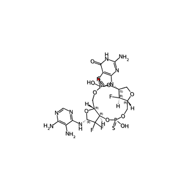 Nc1nc2c(ncn2[C@@]23CO[C@H](COP(O)(=S)O[C@@H]4[C@@H](COP(O)(=S)O2)O[C@@H](Nc2ncnc(N)c2N)C4(F)F)[C@H]3F)c(=O)[nH]1